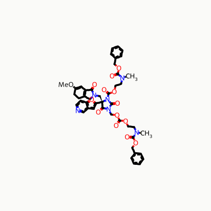 COC1=CC2=C(CC1)CN(C[C@]1(c3cc4cnccc4o3)C(=O)N(COC(=O)OCCN(C)C(=O)OCc3ccccc3)C(=O)N1C(=O)OCCN(C)C(=O)OCc1ccccc1)C2=O